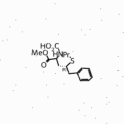 COC(=O)C(C[C@@H](Cc1ccccc1)SC(C)C)NC(=O)O